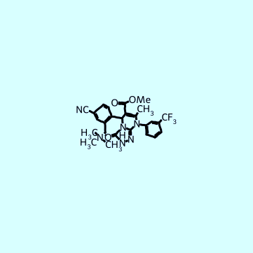 COC(=O)C1=C(C)N(c2cccc(C(F)(F)F)c2)c2n[nH]c(=O)n2C1c1ccc(C#N)cc1C[N+](C)(C)C